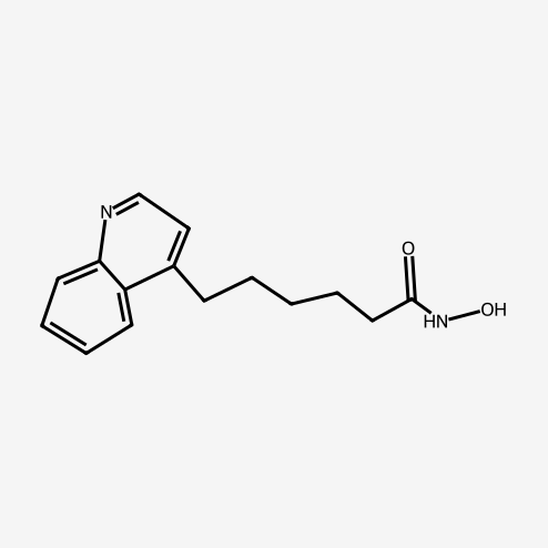 O=C(CCCCCc1ccnc2ccccc12)NO